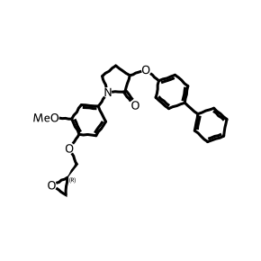 COc1cc(N2CCC(Oc3ccc(-c4ccccc4)cc3)C2=O)ccc1OC[C@H]1CO1